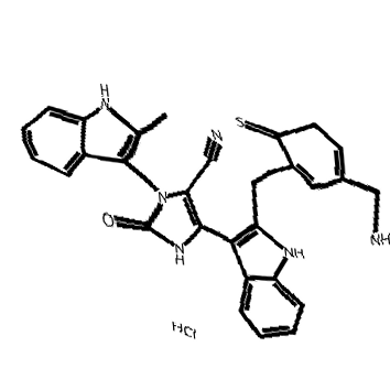 Cc1[nH]c2ccccc2c1-n1c(C#N)c(-c2c(CC3=CC(CN)=CCC3=S)[nH]c3ccccc23)[nH]c1=O.Cl